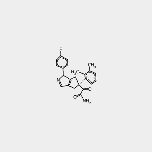 Cc1cccc([C@]2(C(=O)C(N)=O)CC3=C(C2)C(c2ccc(F)cc2)N=C3)c1C